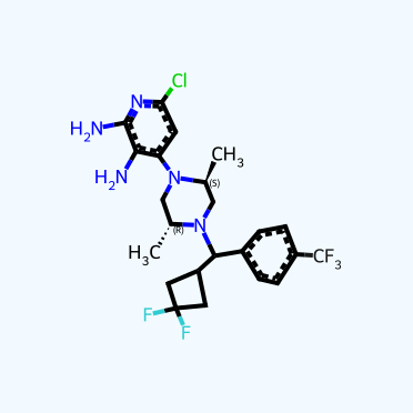 C[C@@H]1CN(c2cc(Cl)nc(N)c2N)[C@@H](C)CN1C(c1ccc(C(F)(F)F)cc1)C1CC(F)(F)C1